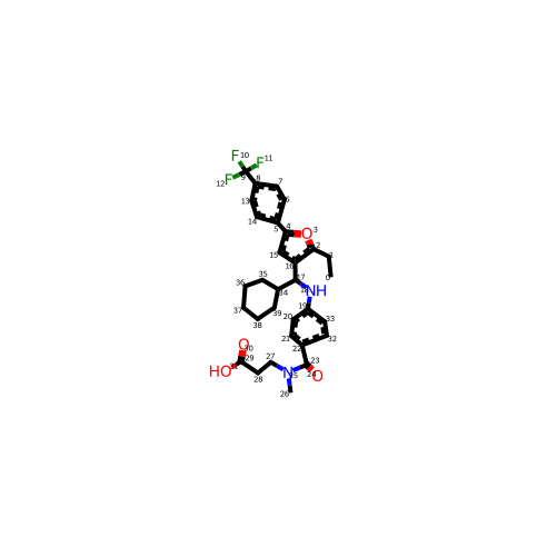 CCc1oc(-c2ccc(C(F)(F)F)cc2)cc1C(Nc1ccc(C(=O)N(C)CCC(=O)O)cc1)C1CCCCC1